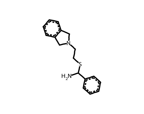 NC(SCCN1Cc2ccccc2C1)c1ccccc1